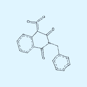 O=C1C(=S(=O)=O)c2ccccc2C(=O)N1Cc1ccccc1